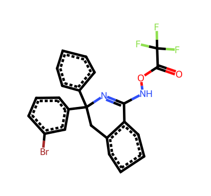 O=C(ONC1=NC(c2ccccc2)(c2cccc(Br)c2)Cc2ccccc21)C(F)(F)F